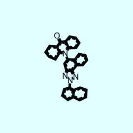 O=c1c2ccccc2n(-c2cc3nn(-c4cccc5ccccc45)nc3c3ccccc23)c2ccccc12